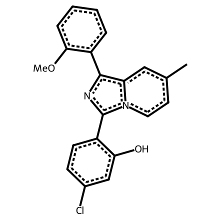 COc1ccccc1-c1nc(-c2ccc(Cl)cc2O)n2ccc(C)cc12